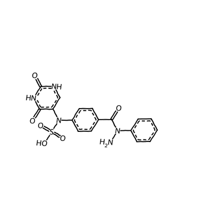 NN(C(=O)c1ccc(N(c2c[nH]c(=O)[nH]c2=O)S(=O)(=O)O)cc1)c1ccccc1